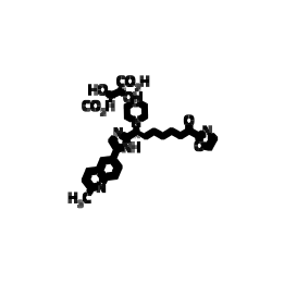 Cc1ccc2cc(-c3cnc([C@H](CCCCCC(=O)c4ncco4)N4CCOCC4)[nH]3)ccc2n1.O=C(O)[C@H](O)[C@@H](O)C(=O)O